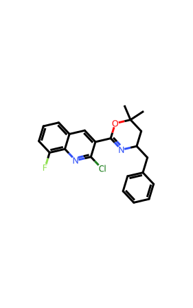 CC1(C)CC(Cc2ccccc2)N=C(c2cc3cccc(F)c3nc2Cl)O1